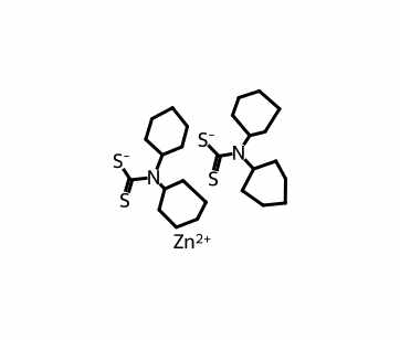 S=C([S-])N(C1CCCCC1)C1CCCCC1.S=C([S-])N(C1CCCCC1)C1CCCCC1.[Zn+2]